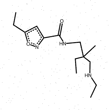 CCNCC(C)(CC)CNC(=O)c1cc(CC)on1